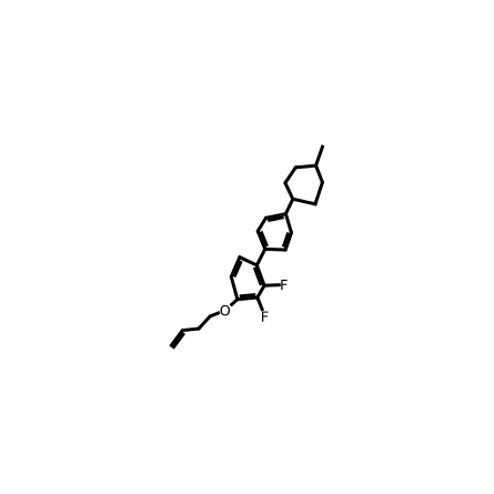 C=CCCOc1ccc(-c2ccc(C3CCC(C)CC3)cc2)c(F)c1F